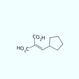 O=C(O)C(=CC1CCCC1)C(=O)O